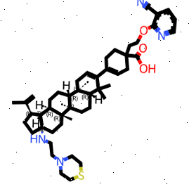 C=C(C)[C@@H]1CC[C@]2(NCCN3CCSCC3)CC[C@]3(C)[C@H](CC[C@@H]4[C@@]5(C)CC=C(C6=CCC(CCOc7ncccc7C#N)(C(=O)O)CC6)C(C)(C)[C@@H]5CC[C@]43C)[C@@H]12